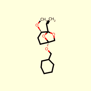 C=CC12OC[C@@](OCC3CCCCC3)(CC[C@H]1OC)O2